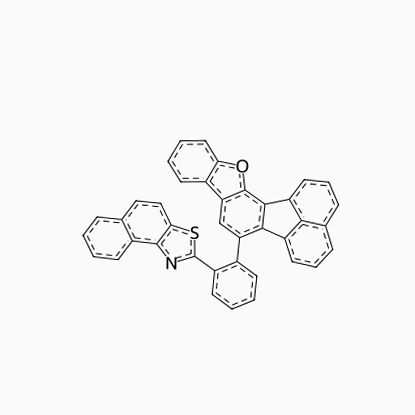 c1ccc(-c2cc3c(oc4ccccc43)c3c2-c2cccc4cccc-3c24)c(-c2nc3c(ccc4ccccc43)s2)c1